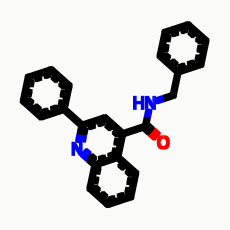 O=C(NCc1ccccc1)c1cc(-c2ccccc2)nc2ccccc12